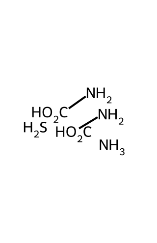 N.NC(=O)O.NC(=O)O.S